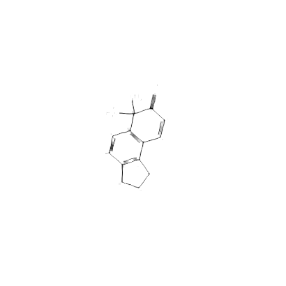 CC1(C)C(=O)C=Cc2c1ccc1c2CCC1